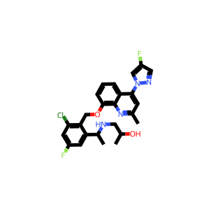 Cc1cc(-n2cc(F)cn2)c2cccc(OCc3c(Cl)cc(F)cc3C(C)NCC(C)O)c2n1